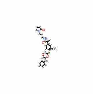 C=C(C(=O)NCCCN1CCCC1=O)c1ccc(SC2COCC(Cc3ccccc3)O2)c(C(F)(F)F)c1